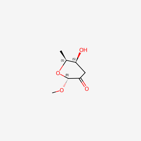 CO[C@@H]1O[C@@H](C)[C@@H](O)CC1=O